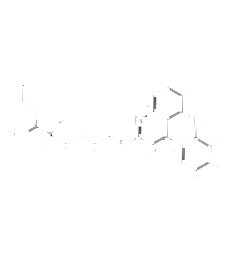 CCOC(=O)C(C)(C)CCCCOc1cc(-c2ccccc2F)c2ccccc2n1